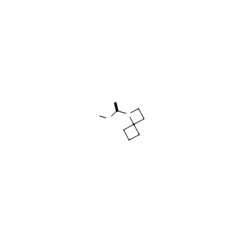 CC(C)(C)OC(=O)N1CCC12CCC2